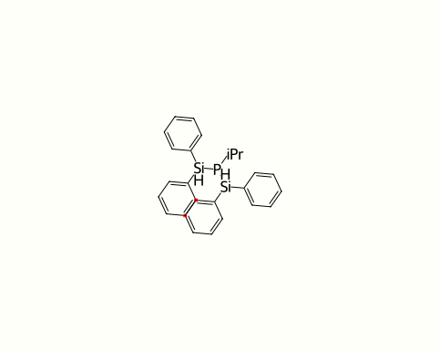 CC(C)P([SiH](c1ccccc1)c1ccccc1)[SiH](c1ccccc1)c1ccccc1